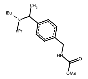 CCCN(C(C)c1ccc(CNC(=O)OC)cc1)[C@@H](C)CC